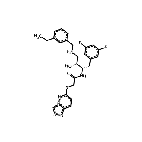 CCc1cccc(CNC[C@@H](O)[C@H](Cc2cc(F)cc(F)c2)NC(=O)CSc2ccc3nncn3n2)c1